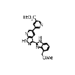 CCOC(=O)c1cncc(-c2cnc3[nH]nc(-c4nc5c(COC)cccc5[nH]4)c3c2)c1